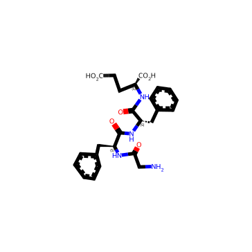 NCC(=O)N[C@@H](Cc1ccccc1)C(=O)N[C@@H](Cc1ccccc1)C(=O)N[C@@H](CCC(=O)O)C(=O)O